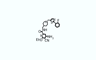 CCOc1nc(C(=O)NCC2CCN(Cc3cnc(-c4ccccc4F)s3)CC2)cc(N)c1C#N